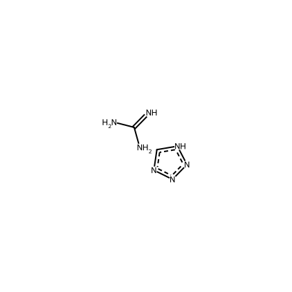 N=C(N)N.c1nnn[nH]1